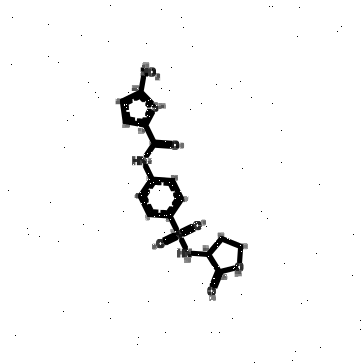 O=C(Nc1ccc(S(=O)(=O)NC2CCOC2=O)cc1)c1ccc([N+](=O)[O-])s1